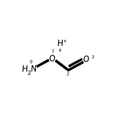 NOC=O.[H+]